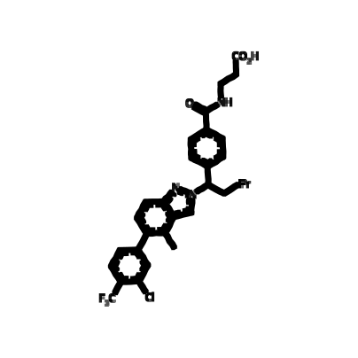 Cc1c(-c2ccc(C(F)(F)F)c(Cl)c2)ccc2nn(C(CC(C)C)c3ccc(C(=O)NCCC(=O)O)cc3)cc12